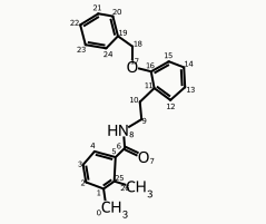 Cc1cccc(C(=O)NCCc2ccccc2OCc2ccccc2)c1C